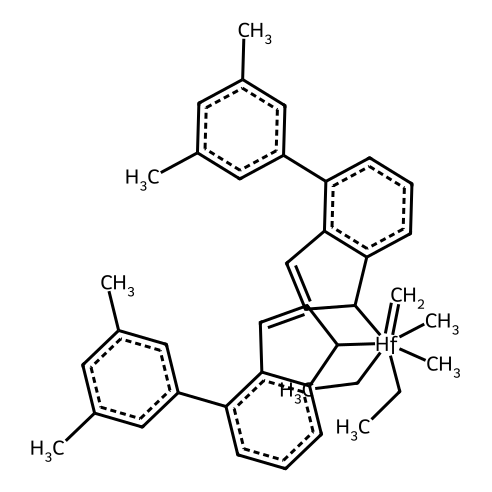 [CH2]=[Hf]([CH3])([CH3])([CH2]C)([CH2]C)([CH]1C=Cc2c(-c3cc(C)cc(C)c3)cccc21)[CH]1C=Cc2c(-c3cc(C)cc(C)c3)cccc21